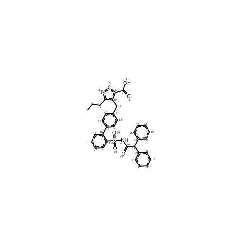 CCCc1noc(C(=O)O)c1Cc1ccc(-c2ccccc2S(=O)(=O)NC(=O)C(c2ccccc2)c2ccccc2)cc1